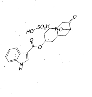 O=C(OC1CC2CC3CC(C1)N2CC3=O)c1c[nH]c2ccccc12.O=S(=O)(O)O